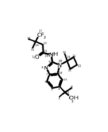 CC(C)(O)c1ccc2nc(NC(=O)CC(C)(C)C(F)(F)F)n(C3(C)CCC3)c2c1